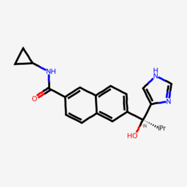 CC(C)[C@](O)(c1ccc2cc(C(=O)NC3CC3)ccc2c1)c1c[nH]cn1